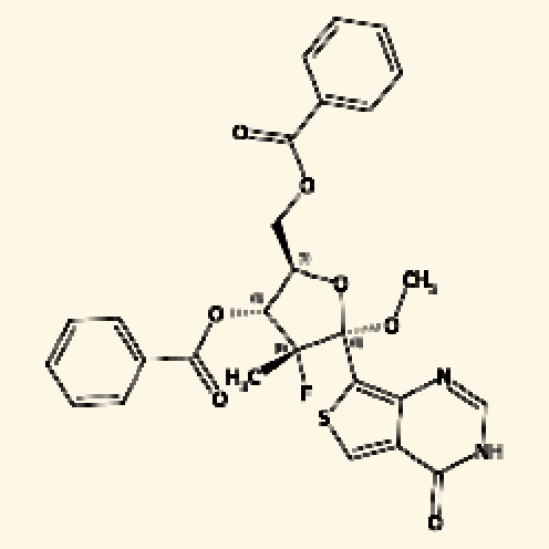 CO[C@@]1(c2scc3c(=O)[nH]cnc23)O[C@H](COC(=O)c2ccccc2)[C@@H](OC(=O)c2ccccc2)[C@@]1(C)F